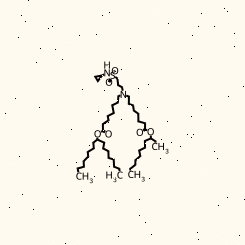 CCCCCCCCC(CC)OC(=O)CCCCCCCN(CCCCCCCC(=O)OC(CCCCCCCC)CCCCCCCC)CCCS(=O)(=O)NC1CC1